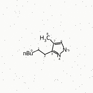 CCCCCCC1=N[N]C=C1C